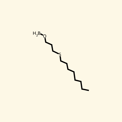 BOCCCSCCCCCCCC